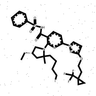 CC[C@@H]1CN(c2nc(-n3ccc(OCCC4(C(F)(F)F)CC4)n3)ccc2C(=O)NS(=O)(=O)c2ccccc2)C(C)(CCCCI)C1